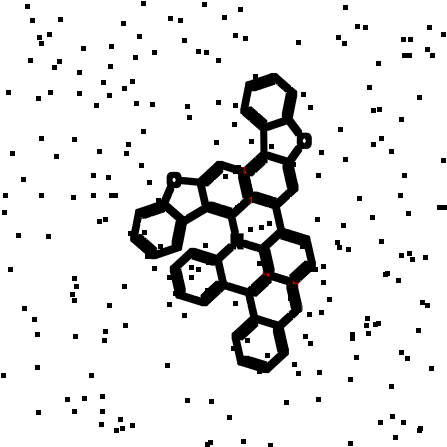 c1ccc(N(c2ccccc2-c2cccc3ccccc23)c2cccc3oc4ccccc4c23)c(-c2ccc3c(c2)oc2ccccc23)c1